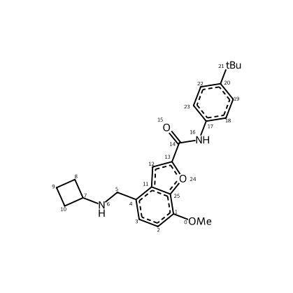 COc1ccc(CNC2CCC2)c2cc(C(=O)Nc3ccc(C(C)(C)C)cc3)oc12